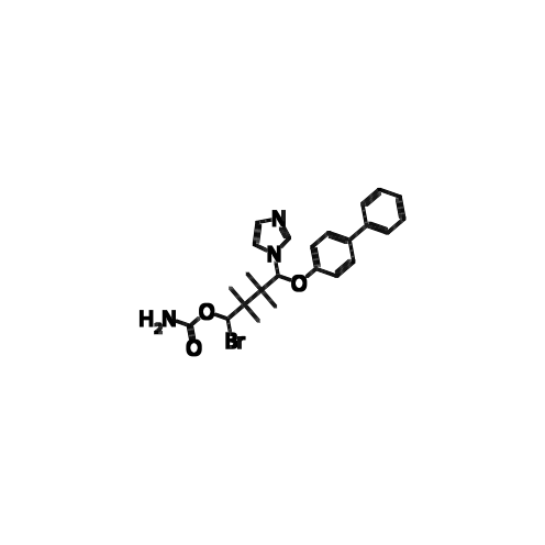 CC(C)(C(Br)OC(N)=O)C(C)(C)C(Oc1ccc(-c2ccccc2)cc1)n1ccnc1